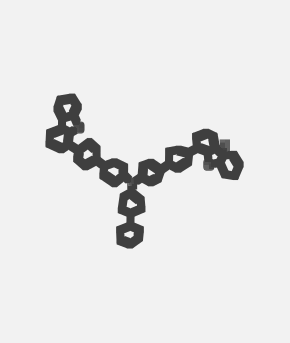 C1=CCC(C2CC=C(N(C3=CCC(c4ccc(-c5cccc6c5oc5ccccc56)cc4)C=C3)c3ccc(C4C=CC(c5cccc6c5OC5CCC=C[C@@H]65)=CC4)cc3)CC2)C=C1